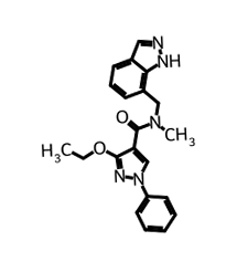 CCOc1nn(-c2ccccc2)cc1C(=O)N(C)Cc1cccc2cn[nH]c12